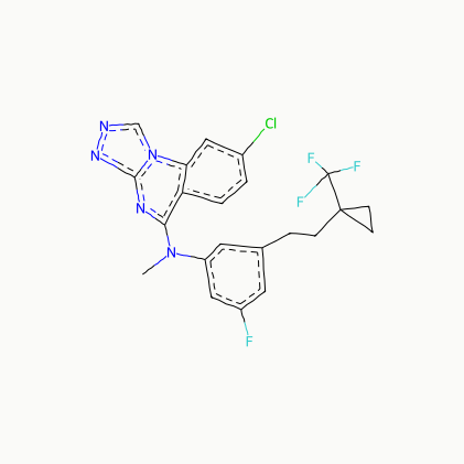 CN(c1cc(F)cc(CCC2(C(F)(F)F)CC2)c1)c1nc2nncn2c2cc(Cl)ccc12